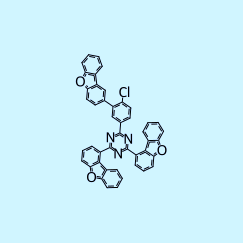 Clc1ccc(-c2nc(-c3cccc4oc5ccccc5c34)nc(-c3cccc4oc5ccccc5c34)n2)cc1-c1ccc2oc3ccccc3c2c1